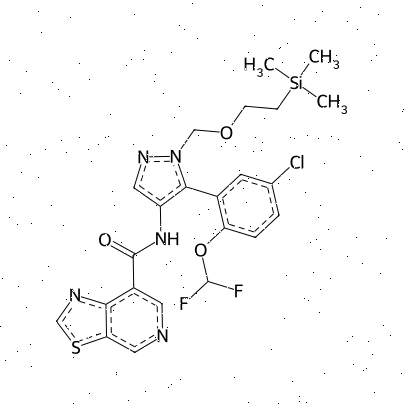 C[Si](C)(C)CCOCn1ncc(NC(=O)c2cncc3scnc23)c1-c1cc(Cl)ccc1OC(F)F